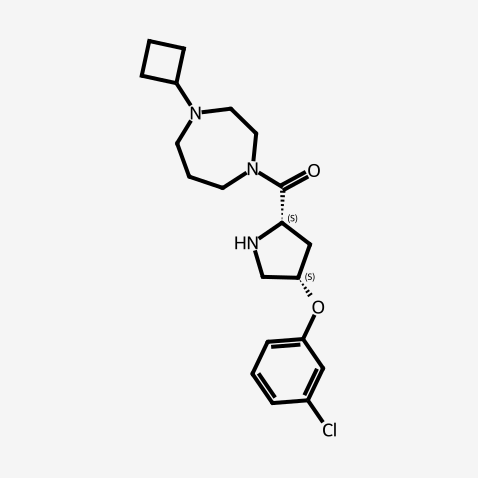 O=C([C@@H]1C[C@H](Oc2cccc(Cl)c2)CN1)N1CCCN(C2CCC2)CC1